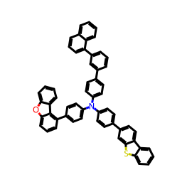 c1cc(-c2ccc(N(c3ccc(-c4ccc5c(c4)sc4ccccc45)cc3)c3ccc(-c4cccc5oc6ccccc6c45)cc3)cc2)cc(-c2cccc3ccccc23)c1